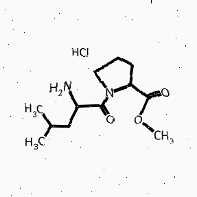 COC(=O)C1CCCN1C(=O)C(N)CC(C)C.Cl